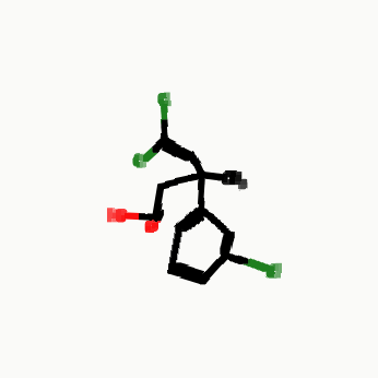 CC(C=C(Cl)Cl)(CC(=O)O)c1cccc(Cl)c1